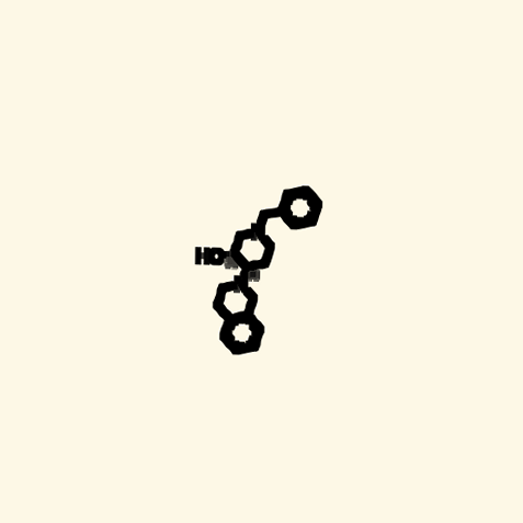 O[C@@H]1CN(Cc2ccccc2)CC[C@H]1N1CCc2ccccc2C1